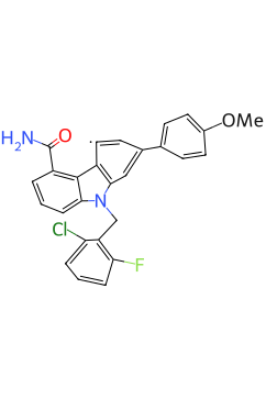 COc1ccc(-c2c[c]c3c4c(C(N)=O)cccc4n(Cc4c(F)cccc4Cl)c3c2)cc1